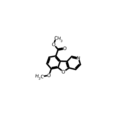 COC(=O)c1ccc(OC)c2oc3ccncc3c12